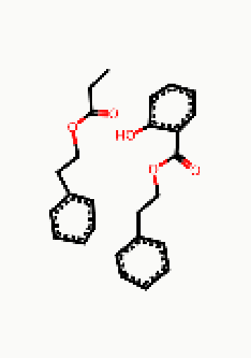 CCC(=O)OCCc1ccccc1.O=C(OCCc1ccccc1)c1ccccc1O